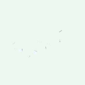 C=C(CC(/C=C/CCC(/C=C/C1CC(C)=CCO1)OC)O[Si](C)(C)C(C)(C)C)CC(C)C(O)C1CC=CC(CC#CC(=O)O)O1